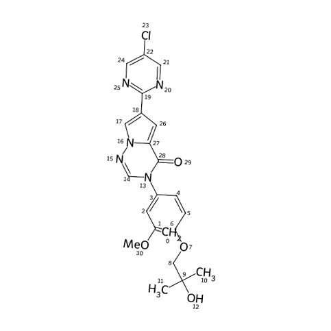 C=C(/C=C(\C=C/COCC(C)(C)O)n1cnn2cc(-c3ncc(Cl)cn3)cc2c1=O)OC